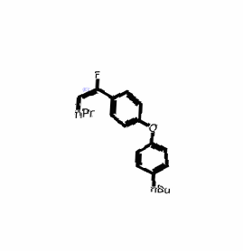 CCC/C=C(/F)c1ccc(Oc2ccc(CCCC)cc2)cc1